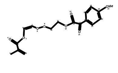 C=C(C)C(=O)O/C=C\OOCCOC(=O)C(=O)c1ccc(OC)cc1